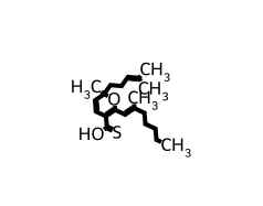 CCCCC/C(C)=C/C1=C(C(O)=S)C=CC(C)(CCC=C(C)C)O1